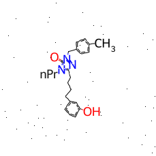 CCCn1c(CCCCc2cccc(O)c2)nn(Cc2ccc(C)cc2)c1=O